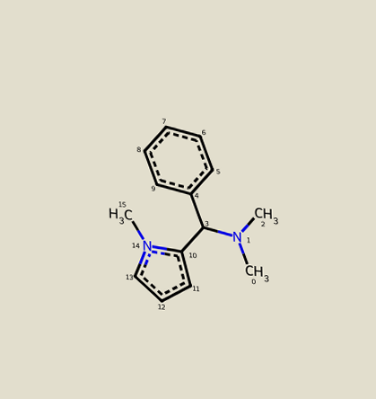 CN(C)C(c1ccccc1)c1cccn1C